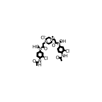 CC(=O)Nc1ccc(N(O)C(=O)CN2CC[N+](C)(CC(=O)N(O)c3ccc(NC(C)=O)c(Cl)c3)CC2)cc1Cl.[Cl-]